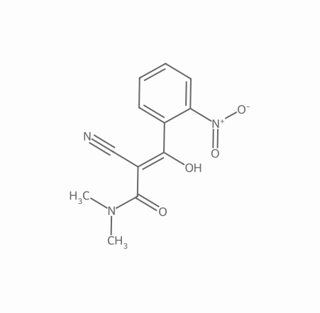 CN(C)C(=O)/C(C#N)=C(\O)c1ccccc1[N+](=O)[O-]